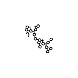 C=C/C=C\C(=C)C1=C2c3ccc(N(C4=CC=C5c6ccccc6C(C)(C)C5C4)c4ccc(-c5cccc(C6=c7ccc(-c8ccccc8)c8c7=C(CC6)C(C)(C)c6cc(N(c7ccc(C9=CCCC=C9)cc7)c7ccc9c%10ccccc%10c%10ccccc%10c9c7)ccc6-8)c5)cc4)cc3C(C)(C)c3cccc(c32)CC1